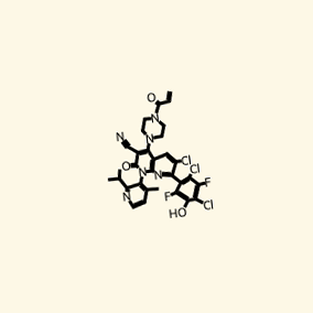 C=CC(=O)N1CCN(c2c(C#N)c(=O)n(-c3c(C)ccnc3C(C)C)c3nc(-c4c(F)c(O)c(Cl)c(F)c4Cl)c(Cl)cc23)CC1